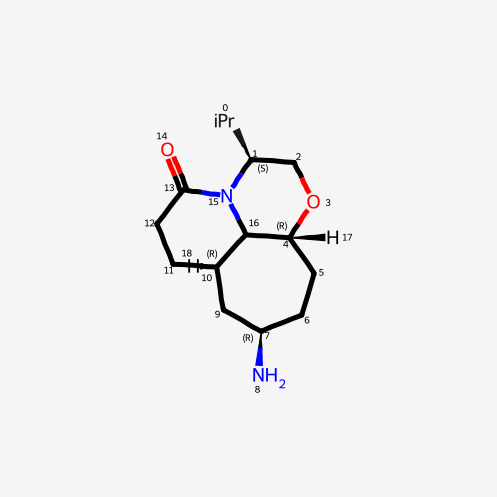 CC(C)[C@H]1CO[C@@H]2CC[C@@H](N)C[C@H]3CCC(=O)N1C32